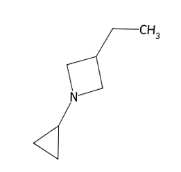 CCC1CN(C2CC2)C1